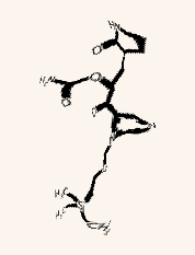 C[Si](C)(C)CCOCn1cncc1C(=O)C(C[C@@H]1CCNC1=O)OC(N)=O